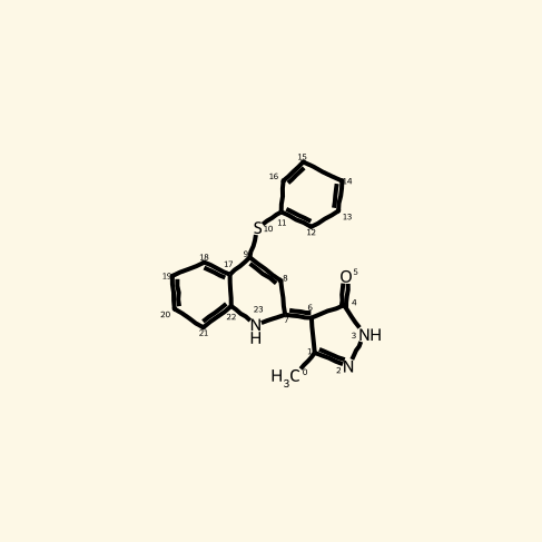 CC1=NNC(=O)C1=C1C=C(Sc2ccccc2)c2ccccc2N1